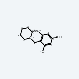 COc1cc(O)cc(Cl)c1CN1CCCCC1